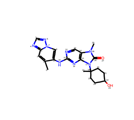 Cc1cc2ncnn2cc1Nc1ncc2c(n1)n(C1(C)CCC(O)CC1)c(=O)n2C